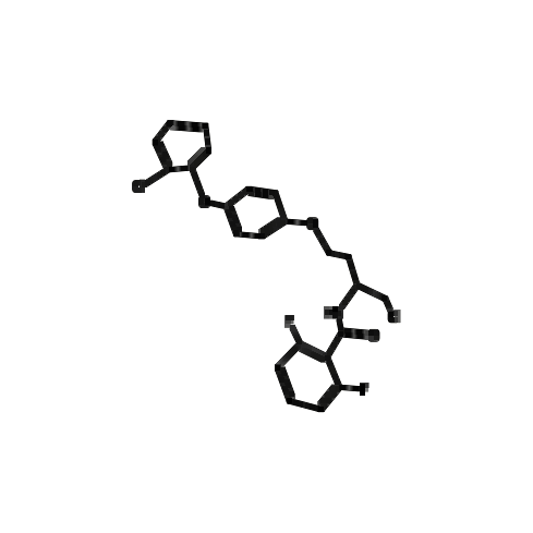 O=C(NC(CCl)CCOc1ccc(Oc2ccccc2Cl)cc1)c1c(F)cccc1F